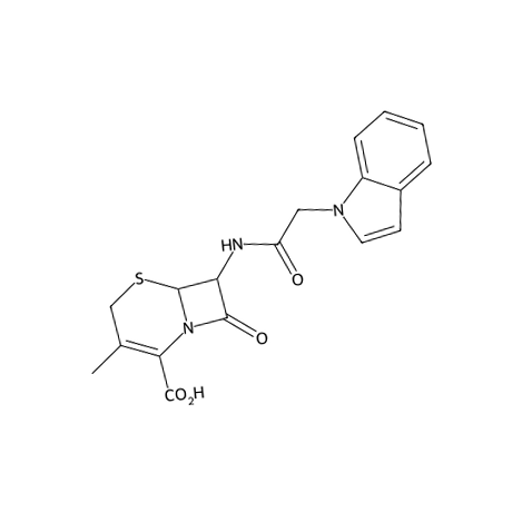 CC1=C(C(=O)O)N2C(=O)C(NC(=O)Cn3ccc4ccccc43)C2SC1